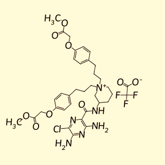 COC(=O)COc1ccc(CCC[N+]2(CCCc3ccc(OCC(=O)OC)cc3)CCCC(NC(=O)c3nc(Cl)c(N)nc3N)C2)cc1.O=C([O-])C(F)(F)F